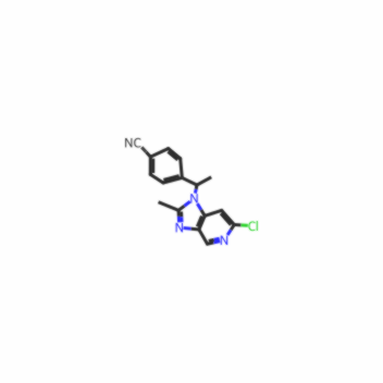 Cc1nc2cnc(Cl)cc2n1C(C)c1ccc(C#N)cc1